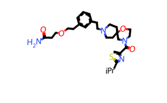 CC(C)c1nc(C(=O)N2CCOC3(CCN(CCc4cccc(CCOCCC(N)=O)c4)CC3)C2)cs1